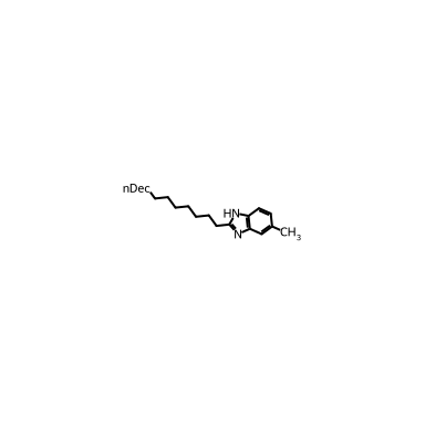 CCCCCCCCCCCCCCCCCc1nc2cc(C)ccc2[nH]1